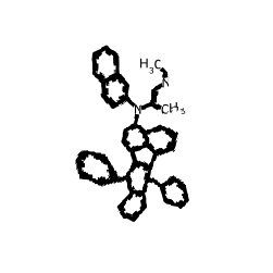 C/C=N\C=C(/C)N(c1ccc2ccccc2c1)c1ccc2c3c(cccc13)-c1c-2c(-c2ccccc2)c2ccccc2c1-c1ccccc1